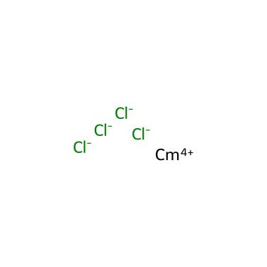 [Cl-].[Cl-].[Cl-].[Cl-].[Cm+4]